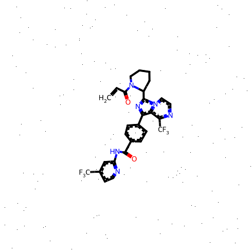 C=CC(=O)N1CCCCC1c1nc(-c2ccc(C(=O)Nc3cc(C(F)(F)F)ccn3)cc2)c2c(C(F)(F)F)nccn12